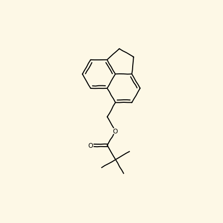 CC(C)(C)C(=O)OCc1ccc2c3c(cccc13)CC2